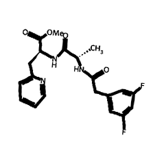 COC(=O)[C@H](Cc1ccccn1)NC(=O)[C@H](C)NC(=O)Cc1cc(F)cc(F)c1